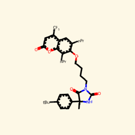 CCCc1cc2c(C(F)(F)F)cc(=O)oc2c(CCC)c1OCCCCN1C(=O)NC(C)(c2ccc(C(C)(C)C)cc2)C1=O